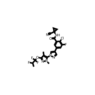 Cc1c(OC(F)(F)C(C)F)nn(C)c1-n1cc(-c2cc(F)c(Cl)c(C(=O)NC3(C#N)CC3)c2)cn1